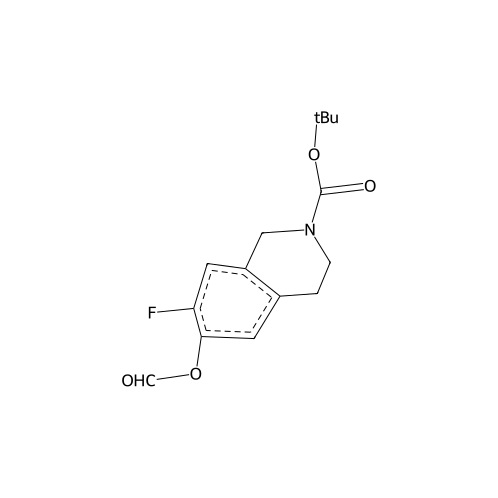 CC(C)(C)OC(=O)N1CCc2cc(OC=O)c(F)cc2C1